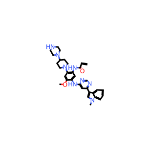 C=CC(=O)Nc1cc(Nc2cc(-c3cn(C)c4ccccc34)ncn2)c(OC)cc1N1CCC(N2CCNCC2)CC1